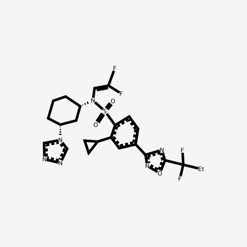 CCC(F)(F)c1nc(-c2ccc(S(=O)(=O)N(C=C(F)F)[C@H]3CCC[C@@H](n4cnnc4)C3)c(C3CC3)c2)no1